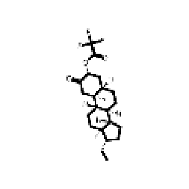 CC[C@H]1CC[C@H]2[C@@H]3CC[C@H]4C[C@@H](OC(=O)C(F)(F)F)C(=O)C[C@]4(C)[C@H]3CC[C@]12C